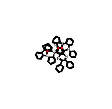 c1ccc(-c2nc3c(N(c4ccccc4)c4ccccc4-n4c5ccccc5c5ccccc54)c4nsnc4c(N(c4ccccc4)c4ccccc4-n4c5ccccc5c5ccccc54)c3nc2-c2ccccc2)cc1